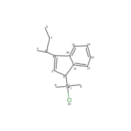 CCC(C)C1=CC([Si](C)(C)Cl)c2ccccc21